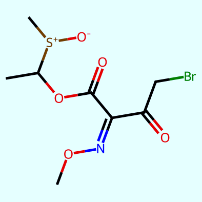 CON=C(C(=O)CBr)C(=O)OC(C)[S+](C)[O-]